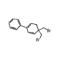 BrCC1(CBr)C=CC(c2ccccc2)=CC1